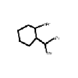 [CH2]CCC(CCC)[C]1CCCCC1CCC